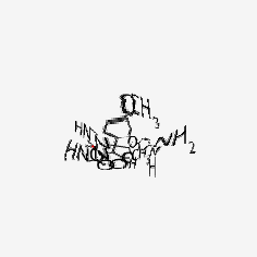 CCC(Oc1ccc(C(=N)N)cc1)C(c1ccc(OC)cc1)(C(C(=O)O)N1CCNCC1=O)N1CCNCC1=O